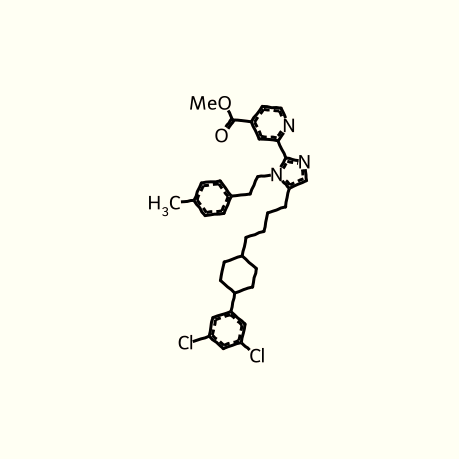 COC(=O)c1ccnc(-c2ncc(CCCCC3CCC(c4cc(Cl)cc(Cl)c4)CC3)n2CCc2ccc(C)cc2)c1